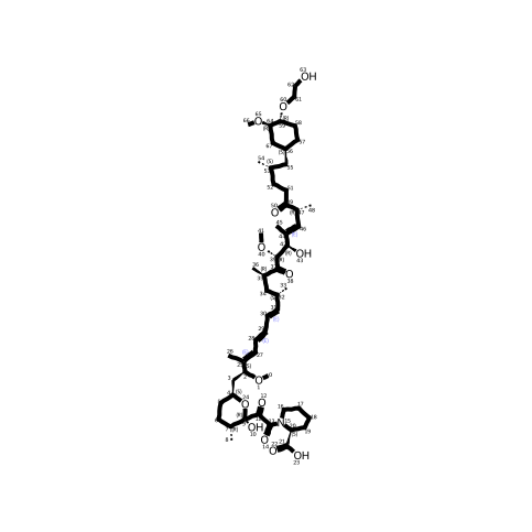 CO[C@@H](C[C@@H]1CC[C@@H](C)[C@](O)(C(=O)C(=O)N2CCCC[C@H]2C(=O)O)O1)/C(C)=C/C=C/C=C/[C@@H](C)C[C@@H](C)C(=O)[C@H](OC)[C@H](O)/C(C)=C/[C@@H](C)C(=O)CC[C@H](C)C[C@@H]1CC[C@@H](OCCO)[C@H](OC)C1